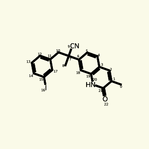 Cc1cc2ccc(C(C)(C#N)Cc3cccc(I)c3)cc2[nH]c1=O